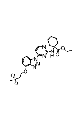 CCOC(=O)C1(Nc2nccc(-n3nnc4c(OCCS(C)(=O)=O)cccc43)n2)CCCCC1